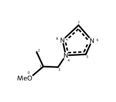 COC(C)Cn1cncn1